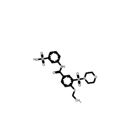 CCSc1ccc(C(=O)Nc2cccc(S(=O)(=O)O)c2)cc1S(=O)(=O)N1CCOCC1